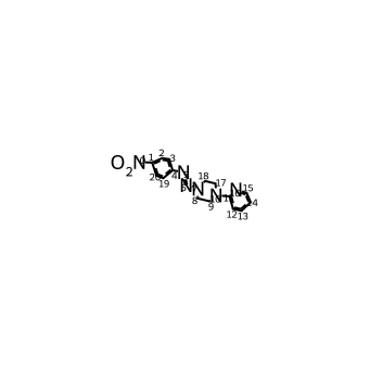 O=[N+]([O-])c1ccc(N=NN2CCN(c3ccccn3)CC2)cc1